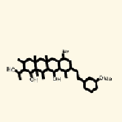 COC1CCCC(CCC2CC(C(C)C)C3CC4(C)CC5(C)CC(C)C(C(C)O)C(O)C5(C)C(C)C4C(O)C3C2C)C1